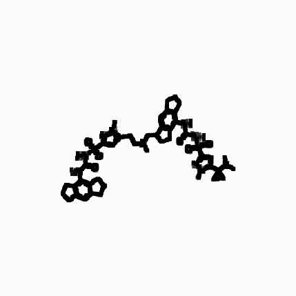 CN(CCc1cc(S(=O)(=O)NC(=O)Nc2c3c(cc4c2CCC4)CCC3)nn1C)CC1CCc2c1cc1c(c2NC(=O)NS(=O)(=O)c2cc(C3(N(C)C)CC3)n(C)n2)CCC1